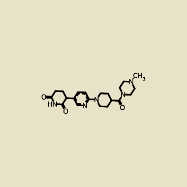 CN1CCN(C(=O)C2CCN(c3ccc(C4CCC(=O)NC4=O)cn3)CC2)CC1